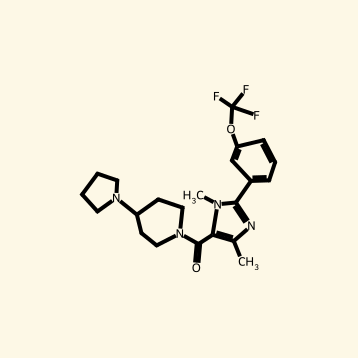 Cc1nc(-c2cccc(OC(F)(F)F)c2)n(C)c1C(=O)N1CCC(N2CCCC2)CC1